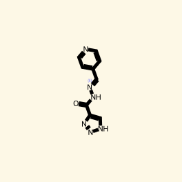 O=C(N/N=C/c1ccncc1)c1c[nH]nn1